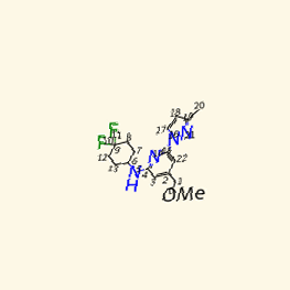 COCc1cc(NC2CCC(F)(F)CC2)nc(-n2ccc(C)n2)c1